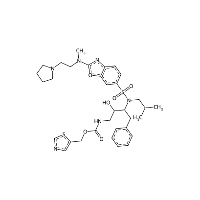 CC(C)CN(C(Cc1ccccc1)C(O)CNC(=O)OCc1cncs1)S(=O)(=O)c1ccc2nc(N(C)CCN3CCCC3)oc2c1